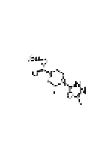 Cc1nnc(N2CCN(C(=O)OC(C)(C)C)C[C@@H]2C)o1